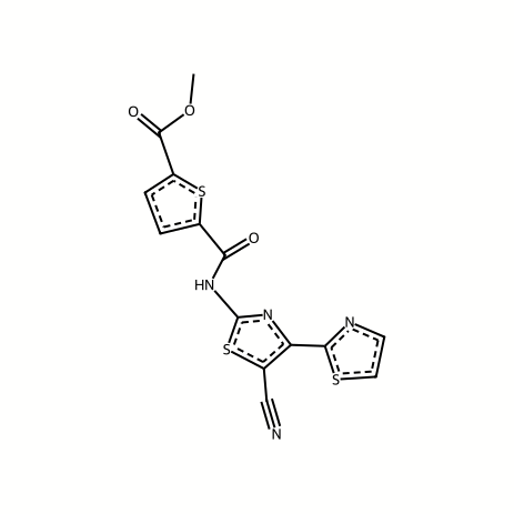 COC(=O)c1ccc(C(=O)Nc2nc(-c3nccs3)c(C#N)s2)s1